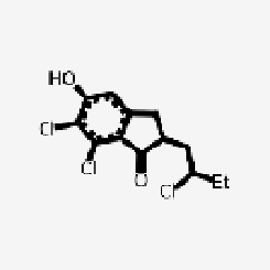 CCC(Cl)CC1Cc2cc(O)c(Cl)c(Cl)c2C1=O